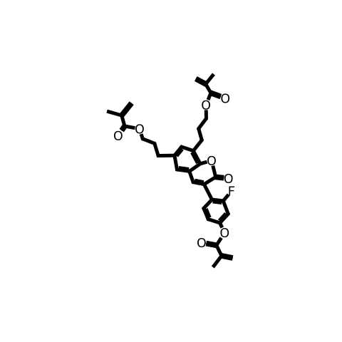 C=C(C)C(=O)OCCCc1cc(CCCOC(=O)C(=C)C)c2oc(=O)c(-c3ccc(OC(=O)C(=C)C)cc3F)cc2c1